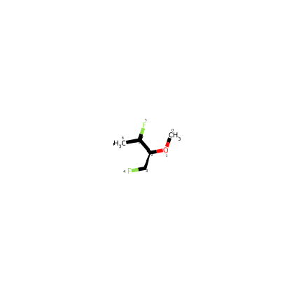 CO[C@@H](CF)C(C)F